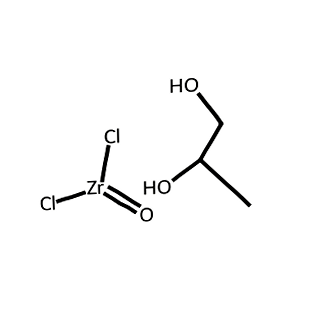 CC(O)CO.[O]=[Zr]([Cl])[Cl]